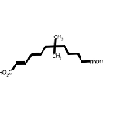 CCCCCCCCCCCCCC(C)(C)C/C=C/C=C/C(=O)O